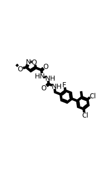 COc1cc(C(=O)NNC(=O)NCc2ccc(-c3cc(Cl)cc(Cl)c3C)cc2F)on1